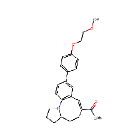 CCCCOCCOc1ccc(-c2ccc3c(c2)/C=C(/C(=O)OC)CCC2CCCN32)cc1